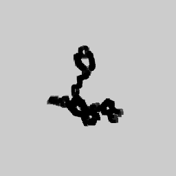 COc1cc2ncnc(NC3=CC(Cl)C(F)C=C3)c2cc1OCCCN1CCOCC1